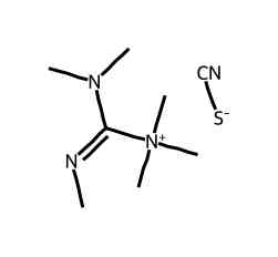 CN=C(N(C)C)[N+](C)(C)C.N#C[S-]